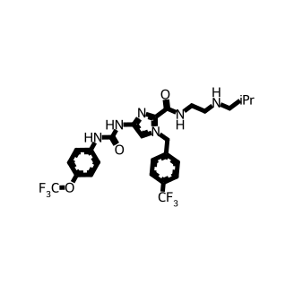 CC(C)CNCCNC(=O)c1nc(NC(=O)Nc2ccc(OC(F)(F)F)cc2)cn1Cc1ccc(C(F)(F)F)cc1